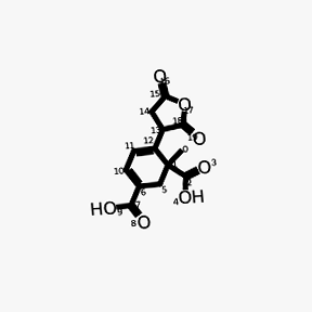 CC1(C(=O)O)CC(C(=O)O)=CC=C1C1CC(=O)OC1=O